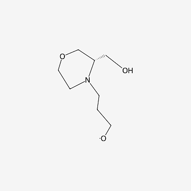 [O]CCCN1CCOC[C@@H]1CO